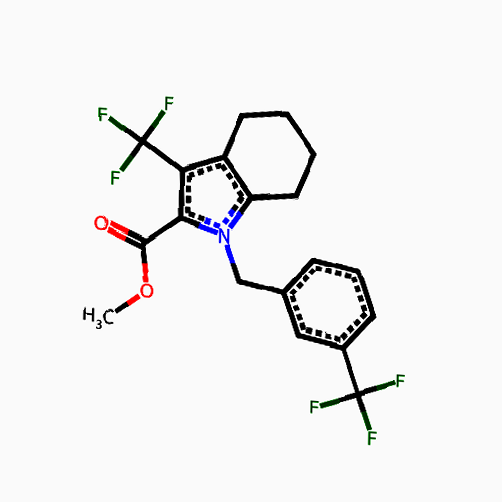 COC(=O)c1c(C(F)(F)F)c2c(n1Cc1cccc(C(F)(F)F)c1)CCCC2